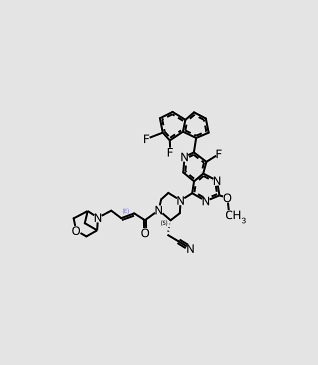 COc1nc(N2CCN(C(=O)/C=C/CN3C4COCC3C4)[C@@H](CC#N)C2)c2cnc(-c3cccc4ccc(F)c(F)c34)c(F)c2n1